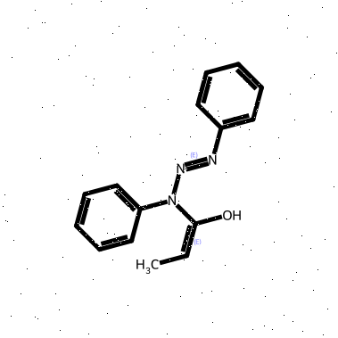 C/C=C(/O)N(/N=N/c1ccccc1)c1ccccc1